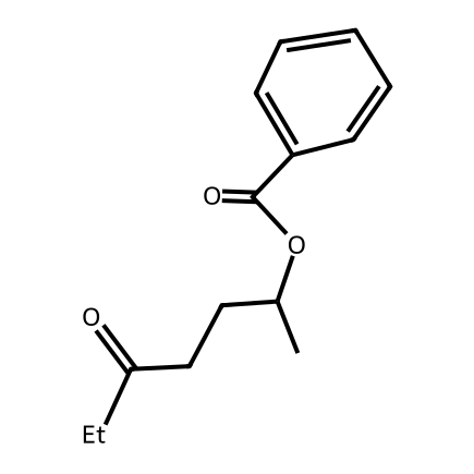 CCC(=O)CCC(C)OC(=O)c1ccccc1